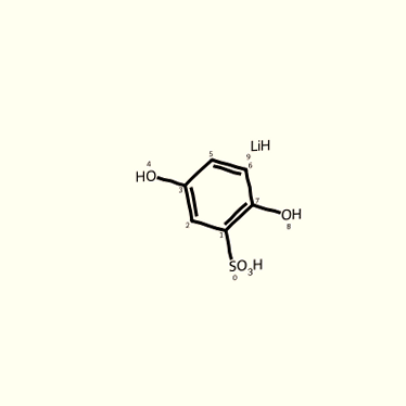 O=S(=O)(O)c1cc(O)ccc1O.[LiH]